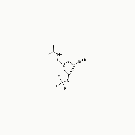 CC(C)NCc1cc(Br)cc(OC(F)(F)F)c1.Cl